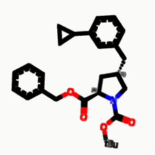 CC(C)(C)OC(=O)N1C[C@@H](Cc2cccc(C3CC3)c2)C[C@@H]1C(=O)OCc1ccccc1